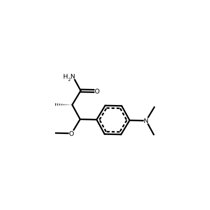 COC(c1ccc(N(C)C)cc1)[C@H](C)C(N)=O